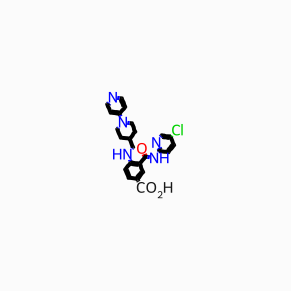 O=C(O)c1ccc(NCC2CCN(c3ccncc3)CC2)c(C(=O)Nc2ccc(Cl)cn2)c1